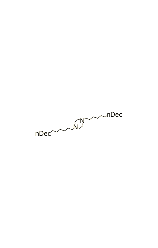 CCCCCCCCCCCCCCCCN1CCN(CCCCCCCCCCCCCCCC)CC1